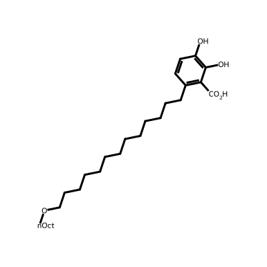 CCCCCCCCOCCCCCCCCCCCCCc1ccc(O)c(O)c1C(=O)O